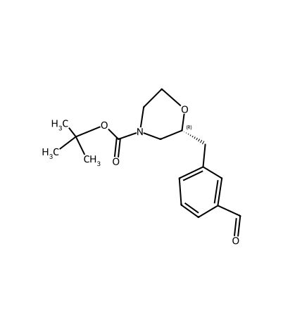 CC(C)(C)OC(=O)N1CCO[C@H](Cc2cccc(C=O)c2)C1